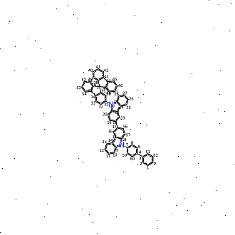 c1ccc(-c2ccc(-n3c4ccccc4c4cc(-c5ccc6c(c5)c5ccccc5n6-c5ccc6c(c5)C5(c7ccccc7-c7ccccc75)c5ccccc5-6)ccc43)cc2)cc1